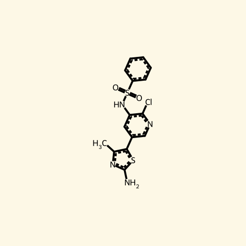 Cc1nc(N)sc1-c1cnc(Cl)c(NS(=O)(=O)c2ccccc2)c1